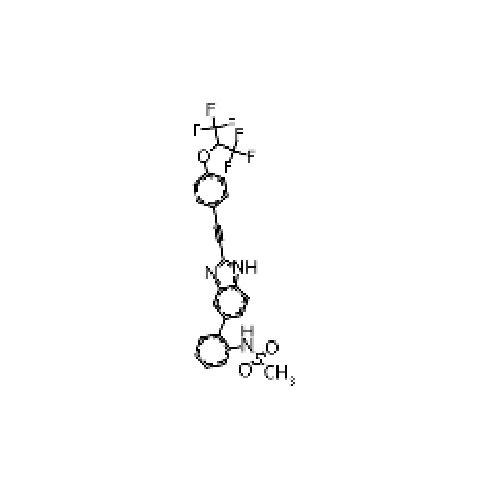 CS(=O)(=O)Nc1ccccc1-c1ccc2[nH]c(C#Cc3ccc(OC(C(F)(F)F)C(F)(F)F)cc3)nc2c1